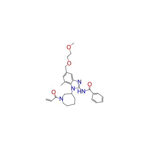 C=CC(=O)N1CCCCC(n2c(NC(=O)c3ccccc3)nc3cc(COCCOC)cc(C)c32)C1